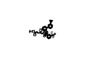 O=C(O)CC[C@H]1CN(S(=O)(=O)c2cccc(C(F)(F)F)c2)c2cc(-c3cccc(C4CC4)c3)ccc2O1